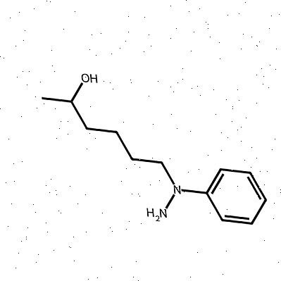 CC(O)CCCCN(N)c1ccccc1